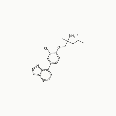 CC(C)CC(C)(N)COc1ccc(-c2ccnc3ccnn23)cc1Cl